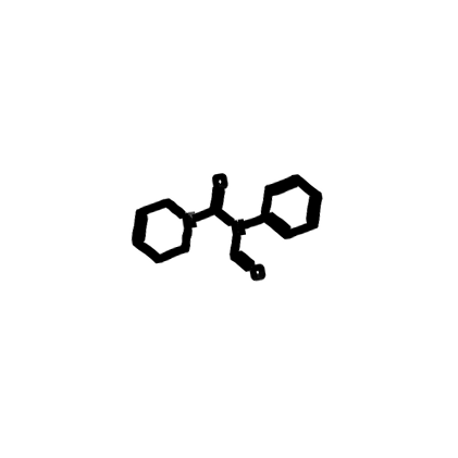 O=CN(C(=O)N1CC=CCC1)c1ccccc1